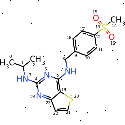 CC(C)Nc1nc(NCc2ccc(S(C)(=O)=O)cc2)c2sccc2n1